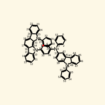 c1ccc(N(c2ccc(-n3c4ccccc4c4ccc5c6ccccc6n(-c6ccccc6)c5c43)cc2)c2ccc3c(c2)c2ccccc2n3-c2ccccc2)cc1